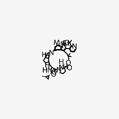 CCn1c(-c2cccnc2[C@H](C)OC)c2c3cc(ccc31)N1C[C@H]3CC[C@H](C[C@H](NC(=O)[C@@H]4C[C@H]4C)C(=O)N4CCC[C@H](N4)C(=O)OCC(C)(C)C2)[C@H]3C1